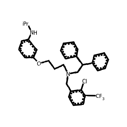 CC(C)Nc1cccc(OCCCN(Cc2cccc(C(F)(F)F)c2Cl)CC(c2ccccc2)c2ccccc2)c1